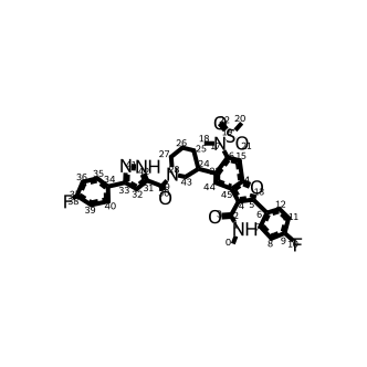 CNC(=O)c1c(-c2ccc(F)cc2)oc2cc(N(C)S(C)(=O)=O)c(C3CCCN(C(=O)c4cc(-c5ccc(F)cc5)n[nH]4)C3)cc12